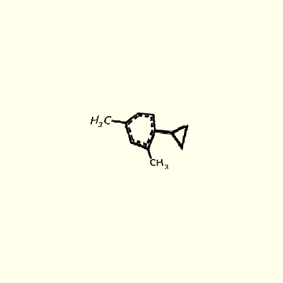 Cc1ccc(C2CC2)c(C)c1